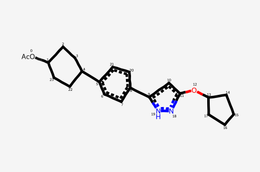 CC(=O)OC1CCC(c2ccc(-c3cc(OC4CCCC4)n[nH]3)cc2)CC1